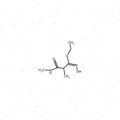 CCOC(=NO)C(C)C(=O)NC